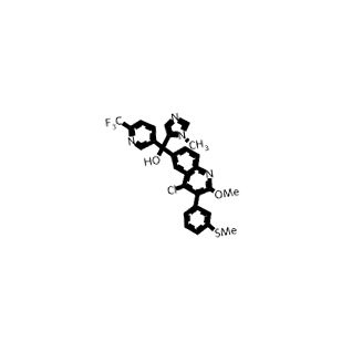 COc1nc2ccc(C(O)(c3ccc(C(F)(F)F)nc3)c3cncn3C)cc2c(Cl)c1-c1cccc(SC)c1